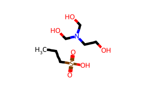 CCCS(=O)(=O)O.OCCN(CO)CO